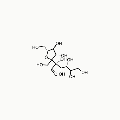 O=C[C@](O)([C@@H](O)[C@H](O)[C@H](O)CO)C1(CO)O[C@H](CO)[C@@H](O)[C@@H]1O